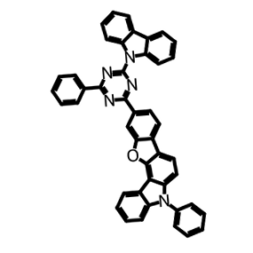 c1ccc(-c2nc(-c3ccc4c(c3)oc3c4ccc4c3c3ccccc3n4-c3ccccc3)nc(-n3c4ccccc4c4ccccc43)n2)cc1